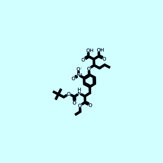 CCCC(Oc1ccc(CC(NC(=O)OCC(C)(C)C)C(=O)OCC)cc1[N+](=O)[O-])C(C(=O)O)C(=O)O